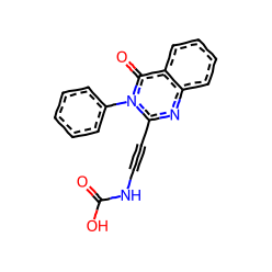 O=C(O)NC#Cc1nc2ccccc2c(=O)n1-c1ccccc1